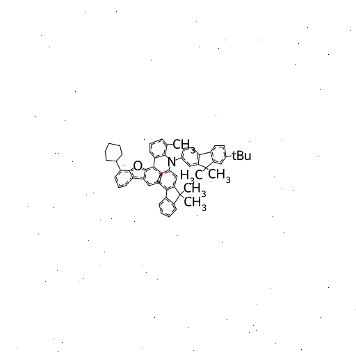 Cc1cccc(-c2cccc3c2oc2c(C4CCCCC4)cccc23)c1N(c1ccc2c(c1)C(C)(C)c1ccccc1-2)c1ccc2c(c1)C(C)(C)c1cc(C(C)(C)C)ccc1-2